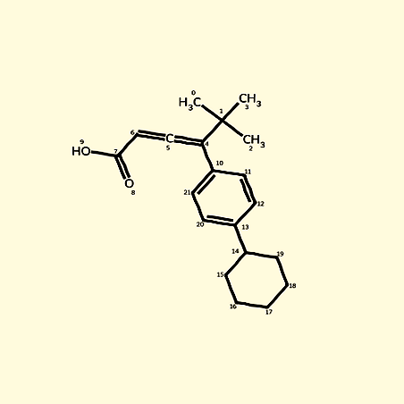 CC(C)(C)C(=C=CC(=O)O)c1ccc(C2CCCCC2)cc1